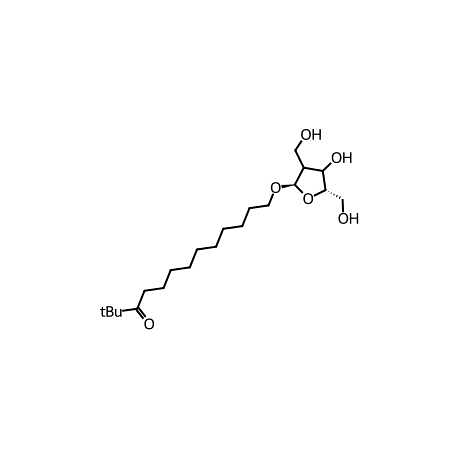 CC(C)(C)C(=O)CCCCCCCCCCO[C@@H]1O[C@@H](CO)C(O)C1CO